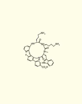 CN1C(=O)[C@H](CCCCN)NC(=O)[C@H](CCCN)NCc2cccnc2Sc2c(F)ccc(-c3ccc(C(=O)O)cc3)c2CNC(=O)[C@@H]1Cc1c[nH]c2ccccc12